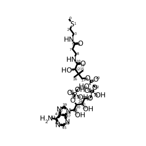 CSCCNC(=O)CCNC(=O)C(O)C(C)(C)COP(=O)(O)OP(=O)(O)OC[C@@H](O)C(OP(=O)(O)O)[C@H](O)n1cnc2c(N)ncnc21